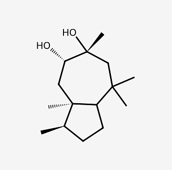 C[C@@H]1CCC2C(C)(C)C[C@@](C)(O)[C@@H](O)C[C@@]21C